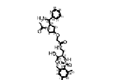 CC(=O)N1CC(OCC(=O)NCC(NS(=O)(=O)c2c(C)cc(C)cc2C)C(=O)O)CC1C(N)c1ccccn1